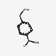 CCCCCCCc1ccc(C(O)CC)cc1